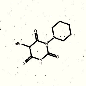 CCCCC1C(=O)N(C2CCCCC2)C(=O)NC1=S